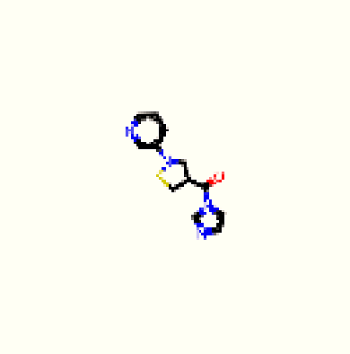 O=C(C1CSN(c2cccnc2)C1)n1ccnc1